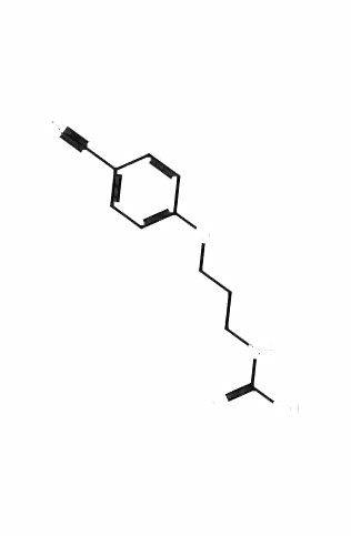 N#Cc1ccc(OCCCNC(=O)O)cc1